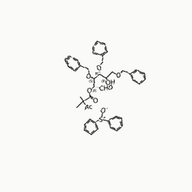 CC(=O)C(C)(C)C(=O)O[C@@H](C=O)[C@@H](OCc1ccccc1)[C@H](OCc1ccccc1)[C@H](O)COCc1ccccc1.[O-][S+](c1ccccc1)c1ccccc1